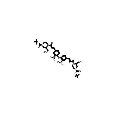 CC(C)(C)OC(=O)N1CCN(C(=O)/C=C/c2ccc(Sc3ccc(/C=C/C(=O)N4CCN(C(=O)OC(C)(C)C)CC4CO)cc3[N+](=O)[O-])c([N+](=O)[O-])c2)C(CO)C1